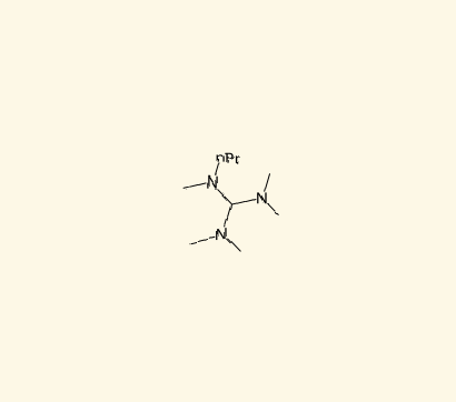 CCCN(C)C(N(C)C)N(C)C